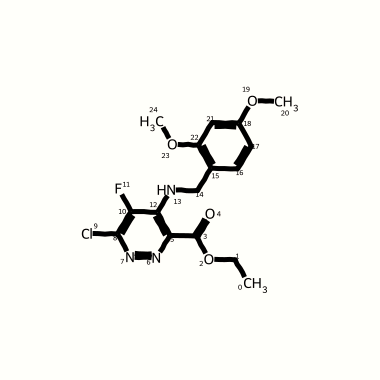 CCOC(=O)c1nnc(Cl)c(F)c1NCc1ccc(OC)cc1OC